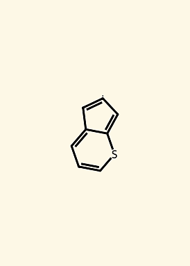 [c]1cc2cccsc-2c1